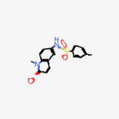 Cc1ccc(S(=O)(=O)Nc2ccc3c(ccc(=O)n3C)c2)cc1